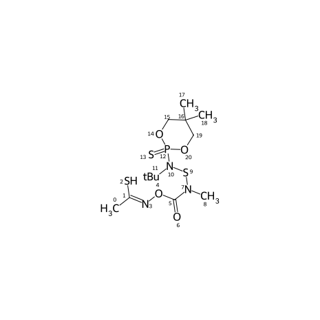 CC(S)=NOC(=O)N(C)SN(C(C)(C)C)P1(=S)OCC(C)(C)CO1